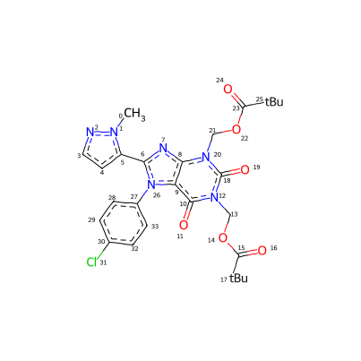 Cn1nccc1-c1nc2c(c(=O)n(COC(=O)C(C)(C)C)c(=O)n2COC(=O)C(C)(C)C)n1-c1ccc(Cl)cc1